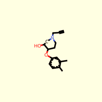 C#CCN1CCC(Oc2ccc(C)c(C)c2)C(O)C1